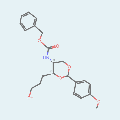 COc1ccc(C2OC[C@@H](NC(=O)OCc3ccccc3)[C@H](CCCO)O2)cc1